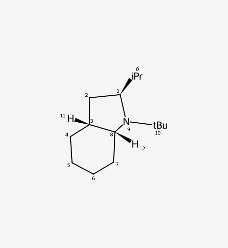 CC(C)[C@@H]1C[C@H]2CCCC[C@H]2N1C(C)(C)C